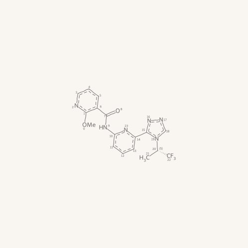 COc1ncccc1C(=O)Nc1cccc(-c2nncn2[C@@H](C)C(F)(F)F)n1